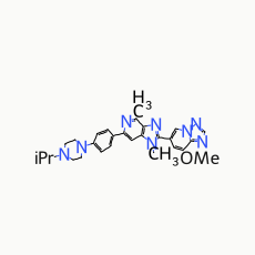 COc1cc(-c2nc3c(C)nc(-c4ccc(N5CCN(C(C)C)CC5)cc4)cc3n2C)cn2ncnc12